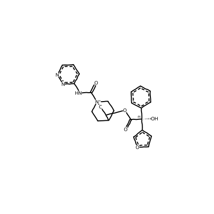 O=C(OC1C[N+]2(C(=O)Nc3cccnn3)CCC1CC2)[C@@](O)(c1ccccc1)c1ccoc1